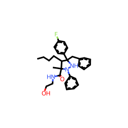 CCCCC1C(Cc2ccccc2)(c2ccc(F)cc2)NN(c2ccccc2)C1(C)C(=O)NCCO